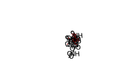 COP(=O)(OC)C1(NC(=O)OCc2ccccc2)CCN(C(=O)[C@@H](CCCCNC(=O)OC(C)(C)C)NC(=O)[C@@H](CC(C)C)NC(=O)[C@@H](Cc2ccccc2)NC(=O)[C@@H](Cc2ccccc2)N(C(=O)OC(C)(C)C)C2(P(=O)(OC)OC)CCNCC2)CC1